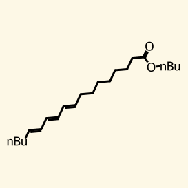 CCCCC=CC=CC=CCCCCCCCC(=O)OCCCC